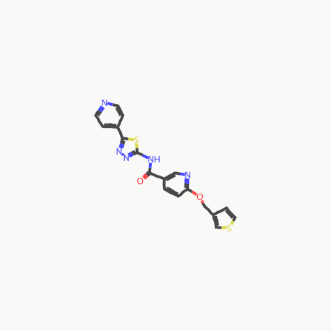 O=C(Nc1nnc(-c2ccncc2)s1)c1ccc(OCc2ccsc2)nc1